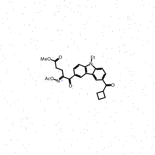 CCn1c2ccc(C(=O)/C(CCC(=O)OC)=N/OC(C)=O)cc2c2cc(C(=O)C3CCC3)ccc21